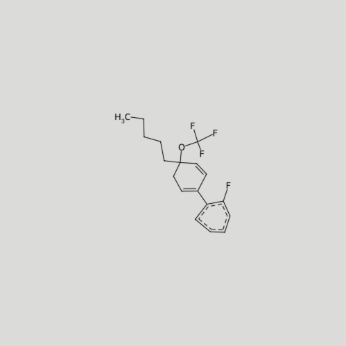 CCCCCC1(OC(F)(F)F)C=CC(c2ccccc2F)=CC1